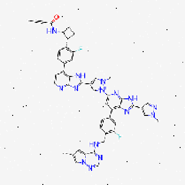 CC#CC(=O)N[C@@H]1CC[C@@H]1c1ccc(-c2ccnc3nc(-c4cn(C)[n+](-c5cc(-c6ccc(CNc7ncnn8cc(C)cc78)c(F)c6)c6nc(-c7cnn(C)c7)[nH]c6n5)c4)[nH]c23)cc1F